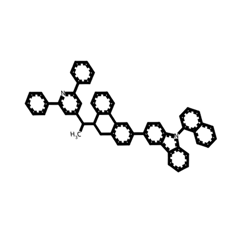 CC(c1cc(-c2ccccc2)nc(-c2ccccc2)c1)C1Cc2ccc(-c3ccc4c(c3)c3ccccc3n4-c3cccc4ccccc34)cc2-c2ccccc21